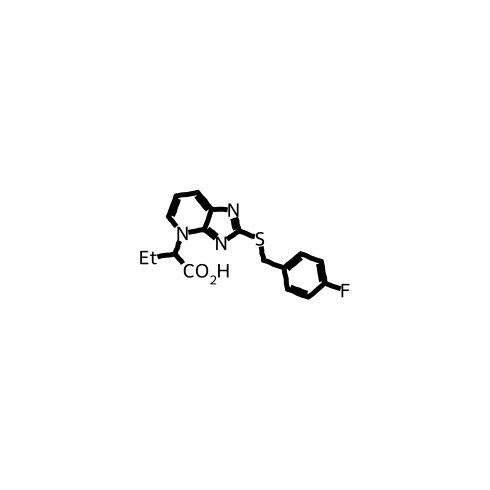 CCC(C(=O)O)n1cccc2nc(SCc3ccc(F)cc3)nc1-2